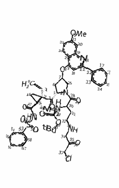 C=C[C@@]1(C(=O)[C@@H]2C[C@@H](Oc3cc(-c4ccccc4)nc4cc(OC)ccc34)CN2C(=O)C(CCNCC(=O)CCl)NC(=O)OC(C)(C)C)C[C@]1(N)C(=O)NS(=O)(=O)c1ccccc1